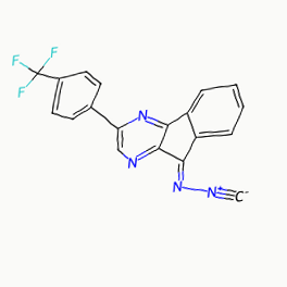 [C-]#[N+]/N=C1\c2ccccc2-c2nc(-c3ccc(C(F)(F)F)cc3)cnc21